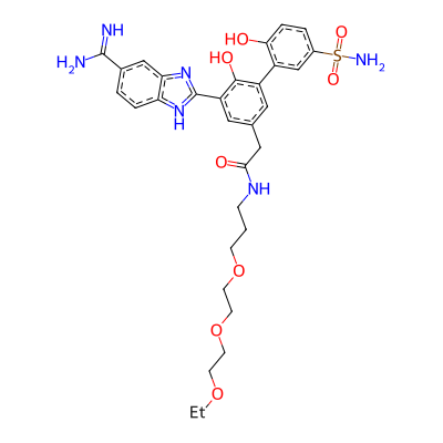 CCOCCOCCOCCCNC(=O)Cc1cc(-c2nc3cc(C(=N)N)ccc3[nH]2)c(O)c(-c2cc(S(N)(=O)=O)ccc2O)c1